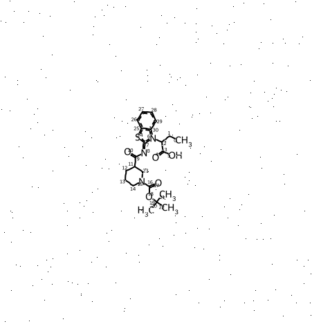 CCC(C(=O)O)n1c(=NC(=O)C2CCCN(C(=O)OC(C)(C)C)C2)sc2ccccc21